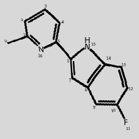 Cc1cccc(-c2cc3cc(F)ccc3[nH]2)n1